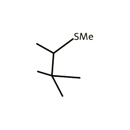 CSC(C)C(C)(C)C